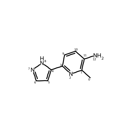 Cc1nc(-c2ccn[nH]2)ccc1N